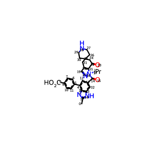 Cc1nc2c(-c3ccc(C(=O)O)cc3)cc(C(=O)[N+]3(C(C)C)N=CC4=C3C(=O)CC3(CCNCC3)C4)cc2[nH]1